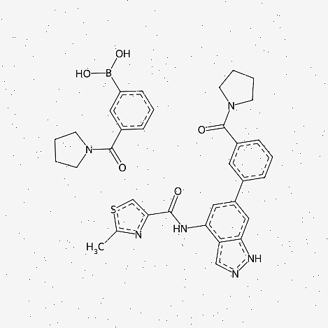 Cc1nc(C(=O)Nc2cc(-c3cccc(C(=O)N4CCCC4)c3)cc3[nH]ncc23)cs1.O=C(c1cccc(B(O)O)c1)N1CCCC1